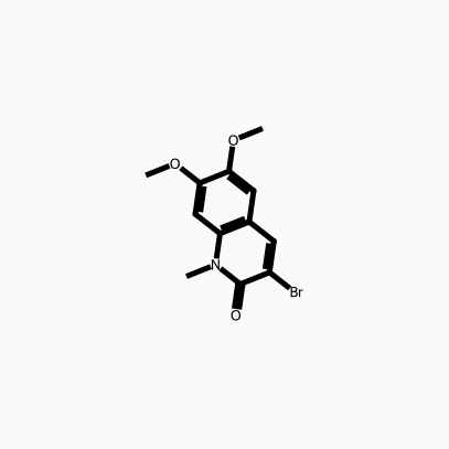 COc1cc2cc(Br)c(=O)n(C)c2cc1OC